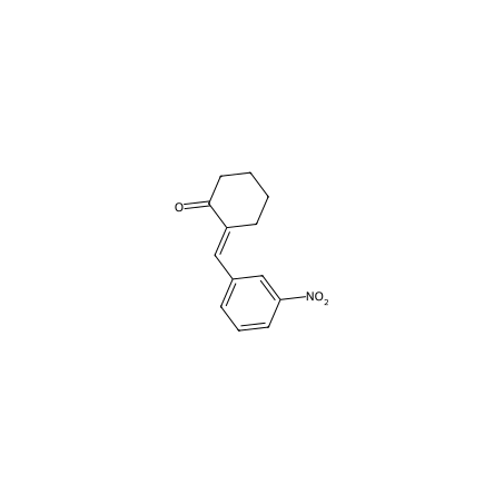 O=C1CCCC/C1=C\c1cccc([N+](=O)[O-])c1